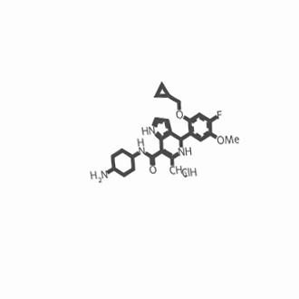 COc1cc(C2NC(C)=C(C(=O)NC3CCC(N)CC3)c3[nH]ccc32)c(OCC2CC2)cc1F.Cl